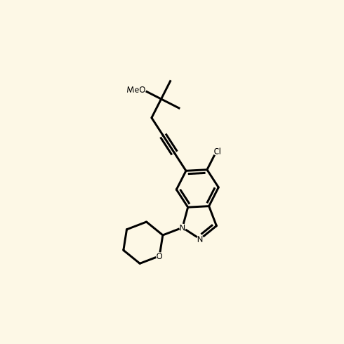 COC(C)(C)CC#Cc1cc2c(cnn2C2CCCCO2)cc1Cl